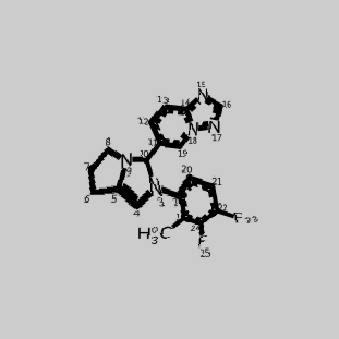 Cc1c(N2C=C3CCCN3C2c2ccc3ncnn3c2)ccc(F)c1F